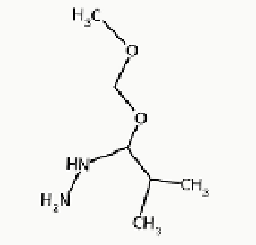 COCOC(NN)C(C)C